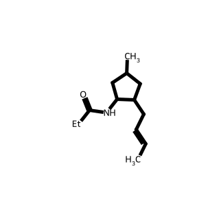 CC=CCC1CC(C)CC1NC(=O)CC